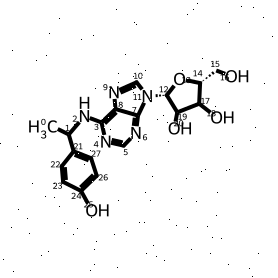 CC(Nc1ncnc2c1ncn2[C@@H]1O[C@H](CO)C(O)C1O)c1ccc(O)cc1